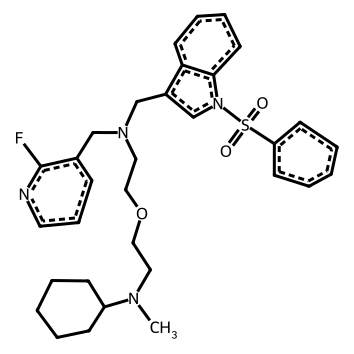 CN(CCOCCN(Cc1cccnc1F)Cc1cn(S(=O)(=O)c2ccccc2)c2ccccc12)C1CCCCC1